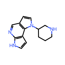 c1cc2c(ncc3ccn(C4CCCNC4)c32)[nH]1